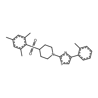 Cc1cc(C)c(S(=O)(=O)C2CCN(c3nc(-c4ccccc4C)cs3)CC2)c(C)c1